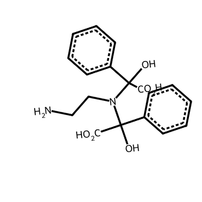 NCCN(C(O)(C(=O)O)c1ccccc1)C(O)(C(=O)O)c1ccccc1